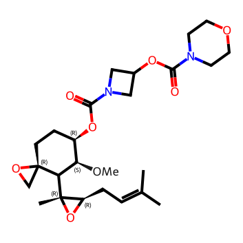 CO[C@H]1C([C@@]2(C)O[C@@H]2CC=C(C)C)[C@]2(CC[C@H]1OC(=O)N1CC(OC(=O)N3CCOCC3)C1)CO2